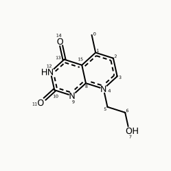 Cc1ccn(CCO)c2nc(=O)[nH]c(=O)c1-2